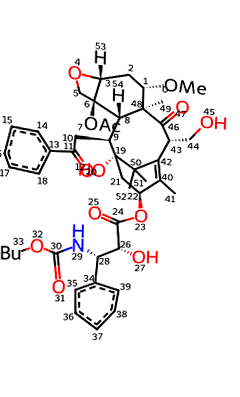 CO[C@H]1C[C@H]2OC[C@@]2(OC(C)=O)[C@H]2[C@H](CC(=O)c3ccccc3)[C@]3(O)C[C@H](OC(=O)[C@H](O)[C@@H](NC(=O)OC(C)(C)C)c4ccccc4)C(C)=C([C@@H](CO)C(=O)[C@]12C)C3(C)C